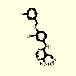 Nc1ncnc(Nc2ccc(OCc3cccc(F)c3)c(Cl)c2)c1/C=N\O